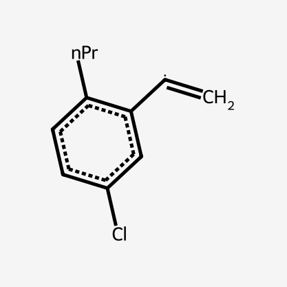 C=[C]c1cc(Cl)ccc1CCC